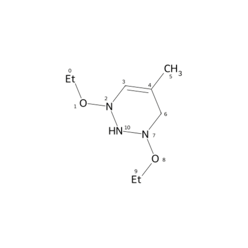 CCON1C=C(C)CN(OCC)N1